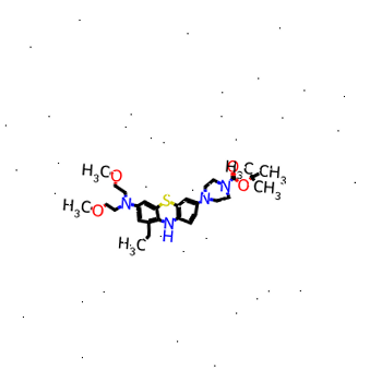 CCc1cc(N(CCOC)CCOC)cc2c1Nc1ccc(N3CCN(C(=O)OC(C)(C)C)CC3)cc1S2